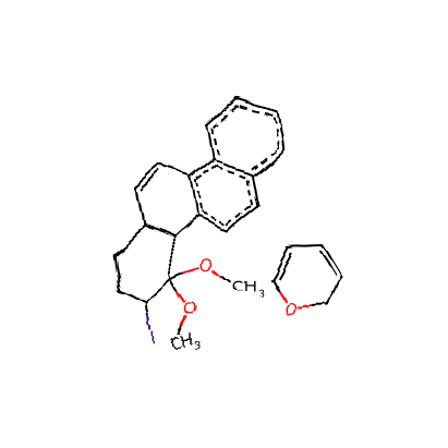 C1=CCOC=C1.COC1(OC)C(I)CCC2C=Cc3c(ccc4ccccc34)C21